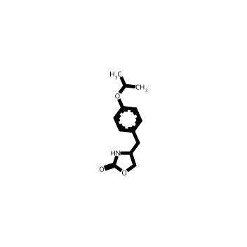 CC(C)Oc1ccc(CC2COC(=O)N2)cc1